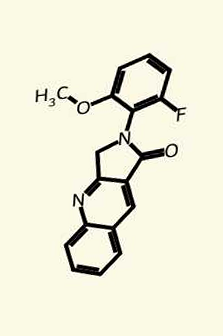 COc1cccc(F)c1N1Cc2nc3ccccc3cc2C1=O